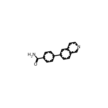 NC(=O)c1ccc(-c2ccc3cnccc3c2)cc1